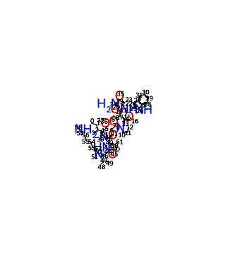 CC[C@H](C)[C@@H]([C@@H](CC(=O)N1CCC[C@H]1[C@H](OC)[C@@H](C)C(=O)N[C@@H](Cc1c[nH]c2ccccc12)C(N)=O)OC)N(C)C(=O)[C@@H](NC(=O)[C@H](C(C)C)N(C)CCCCCCN)C(C)C